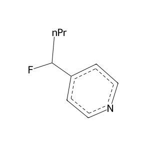 CCCC(F)c1ccncc1